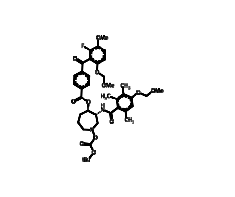 COCOc1cc(C)c(C(=O)N[C@@H]2CN(OC(=O)OC(C)(C)C)CCC[C@H]2OC(=O)c2ccc(C(=O)c3c(OCOC)ccc(OC)c3F)cc2)c(C)c1C